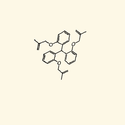 C=C(C)COc1ccccc1C(c1ccccc1OCC(=C)C)c1ccccc1OCC(=C)C